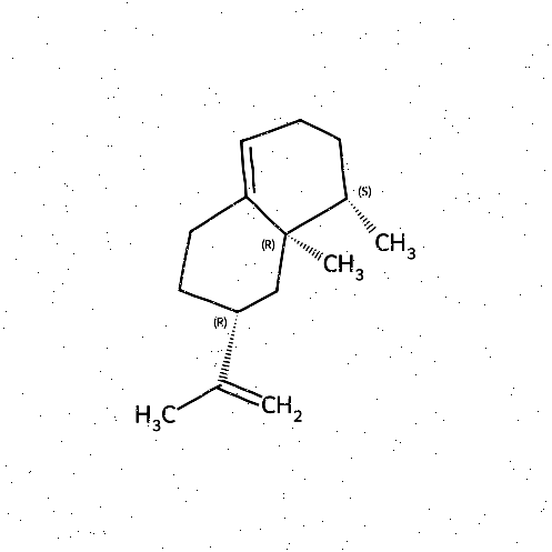 C=C(C)[C@@H]1CCC2=CCC[C@H](C)[C@@]2(C)C1